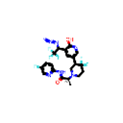 C[C@@H](C(=O)Nc1ccc(F)cn1)N1CCC(F)(F)C(c2cnc(O)c(C(N=[N+]=[N-])C(F)(F)F)c2)C1